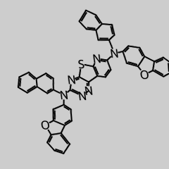 c1ccc2cc(N(c3ccc4c(c3)oc3ccccc34)c3ccc4c(n3)sc3nc(N(c5ccc6ccccc6c5)c5ccc6c(c5)oc5ccccc56)nnc34)ccc2c1